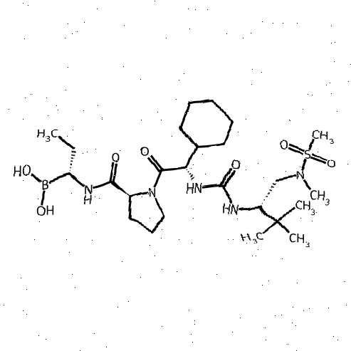 CC[C@H](NC(=O)[C@@H]1CCCN1C(=O)[C@@H](NC(=O)N[C@H](CN(C)S(C)(=O)=O)C(C)(C)C)C1CCCCC1)B(O)O